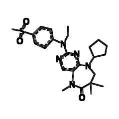 CCN(c1ccc(S(C)(=O)=O)cc1)c1ncc2c(n1)N(C1CCCC1)CC(C)(C)C(=O)N2C